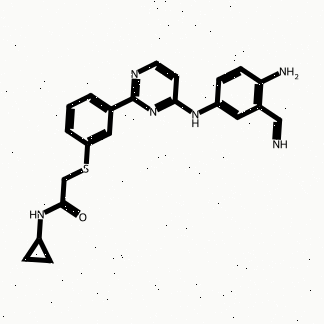 N=Cc1cc(Nc2ccnc(-c3cccc(SCC(=O)NC4CC4)c3)n2)ccc1N